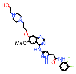 COc1cc2c(Nc3cc(CC(=O)Nc4cccc(F)c4F)[nH]n3)ncnc2cc1OCCCN1CCN(CCO)CC1